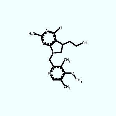 COc1c(C)cnc(CN2CC(CCO)c3c(Cl)nc(N)nc32)c1C